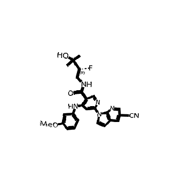 COc1cccc(Nc2cc(-n3ccc4cc(C#N)cnc43)ncc2C(=O)NC[C@@H](F)C(C)(C)O)c1